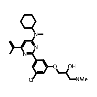 C=C(C)c1cc(N(C)C2CCCCC2)nc(-c2cc(Cl)cc(OCC(O)CNC)c2)n1